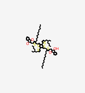 CCCCCCCCCCCCc1cc(C=C2C(=O)c3ccccc3C2=O)sc1-c1cc2c(-c3ccc(CC(CC)CCCC)s3)c3sc(-c4sc(/C=C5\C(=O)c6ccccc6C5O)cc4CCCCCCCCCCCC)cc3c(-c3ccc(CC(CC)CCCC)s3)c2s1